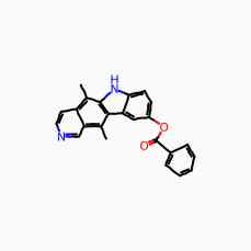 Cc1c2ccncc2c(C)c2c1[nH]c1ccc(OC(=O)c3ccccc3)cc12